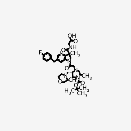 CC1COCCN1C[C@H]1CN(C(=O)OC(C)(C)C)C(C)CN1CC(=O)N1C[C@@](C)(C(=O)NCC(=O)O)c2ncc(Cc3ccc(F)cc3)cc21